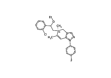 CCOC(C[C@@]1(C)Cc2cnn(-c3ccc(F)cc3)c2C=C1C)c1ccccc1Cl